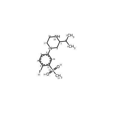 CC(C)C1CN(c2ccc(F)c(S(C)(=O)=O)c2)CCN1